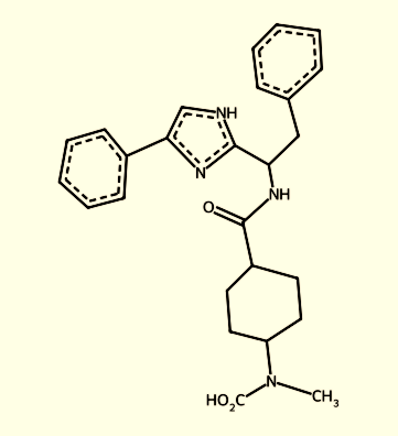 CN(C(=O)O)C1CCC(C(=O)NC(Cc2ccccc2)c2nc(-c3ccccc3)c[nH]2)CC1